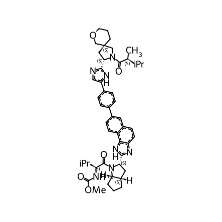 COC(=O)N[C@H](C(=O)N1[C@H](c2nc3ccc4cc(-c5ccc(-c6cnc([C@@H]7C[C@@]8(CCCOC8)CN7C(=O)[C@@H](C)C(C)C)[nH]6)cc5)ccc4c3[nH]2)C[C@@H]2CCC[C@@H]21)C(C)C